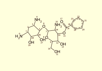 NC1CC(N)C(OC2OC(CO)C(O)C(OC(=O)c3ccccc3)C2N)C(O)C1O